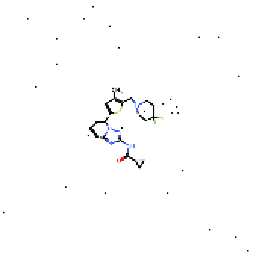 Cc1cc(C2CC=Cc3nc(NC(=O)C4CC4)nn32)sc1CN1CCC(F)(F)CC1